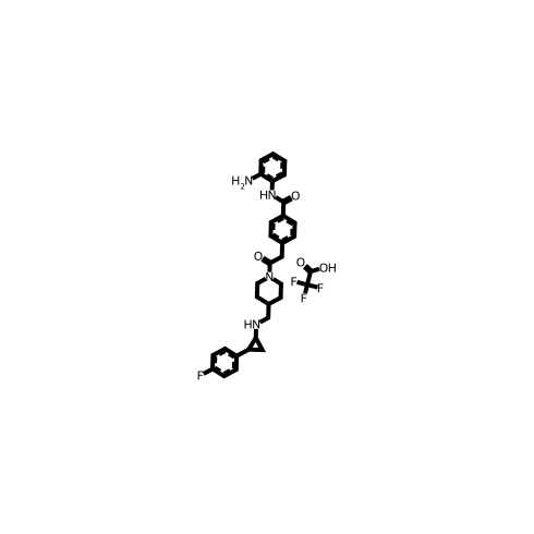 Nc1ccccc1NC(=O)c1ccc(CC(=O)N2CCC(CNC3CC3c3ccc(F)cc3)CC2)cc1.O=C(O)C(F)(F)F